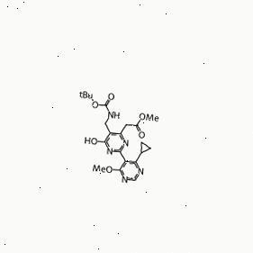 COC(=O)Cc1nc(-c2c(OC)ncnc2C2CC2)nc(O)c1CNC(=O)OC(C)(C)C